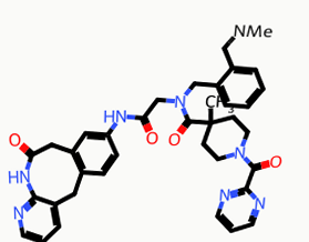 CNCc1ccccc1CN(CC(=O)Nc1ccc2c(c1)CC(=O)Nc1ncccc1C2)C(=O)C1(C)CCN(C(=O)c2ncccn2)CC1